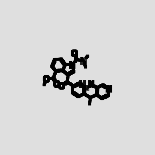 COC(=O)c1cccc2c1c(C(=O)c1ccc(C(C)c3ccncc3N)cc1)cn2C(=O)N(C)C